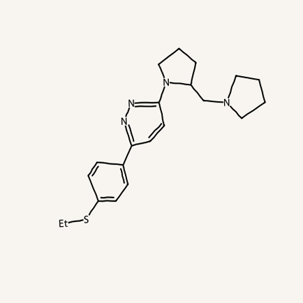 CCSc1ccc(-c2ccc(N3CCCC3CN3CCCC3)nn2)cc1